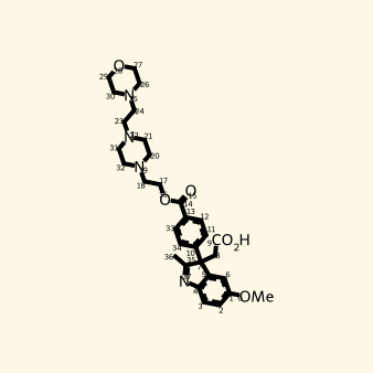 COc1ccc2c(c1)C(CC(=O)O)(c1ccc(C(=O)OCCN3CCN(CCN4CCOCC4)CC3)cc1)C(C)=N2